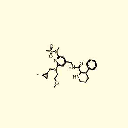 COCCN(C[C@H]1C[C@@H]1C)c1cc(CNC(=O)C2NCCCC2c2ccccc2)cc(N(C)S(C)(=O)=O)n1